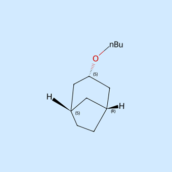 CCCCO[C@@H]1C[C@@H]2CC[C@@H](C2)C1